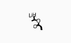 [CH2]C(C)OC(=O)C=C.[LiH]